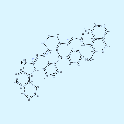 C=C(/C=C/C1=C(N(c2ccccc2)c2ccccc2)C(=C/C=C2/Nc3ccc4ccccc4c3S2)/CCC1)Sc1c(C)ccc2ccccc12